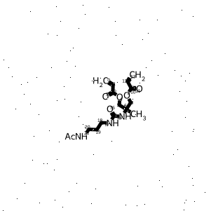 C=CC(=O)OCC(C)(COC(=O)C=C)NC(=O)NCCCNC(C)=O